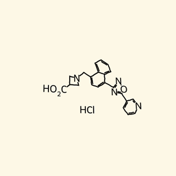 Cl.O=C(O)C1CN(Cc2ccc(-c3noc(-c4cccnc4)n3)c3ccccc23)C1